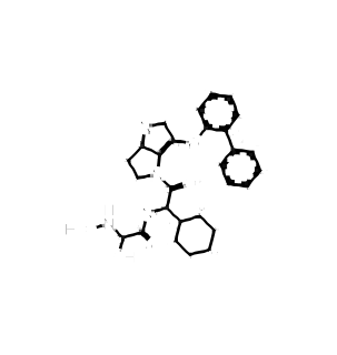 CNC(C)C(=O)NC(C(=O)N1CCC2NCC(Oc3ccccc3-c3ccccc3)=C21)C1CCCCC1